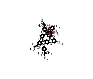 CCC(C)(C)c1cc2c3c(c1)N(c1ccc(C(C)(C)C)cc1)c1cc4c(cc1B3c1cc(C(C)(C)C)ccc1O2)B1c2cc3c(cc2Oc2cc(C)cc(c21)O4)N(c1c(C)cc(C)cc1C)c1cc(C(C)(C)CC)cc2c1B3c1cc(C(C)(C)C)ccc1O2